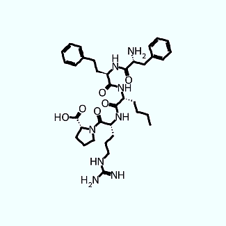 CCCC[C@@H](NC(=O)[C@@H](CCc1ccccc1)NC(=O)[C@H](N)Cc1ccccc1)C(=O)N[C@H](CCCNC(=N)N)C(=O)N1CCC[C@@H]1C(=O)O